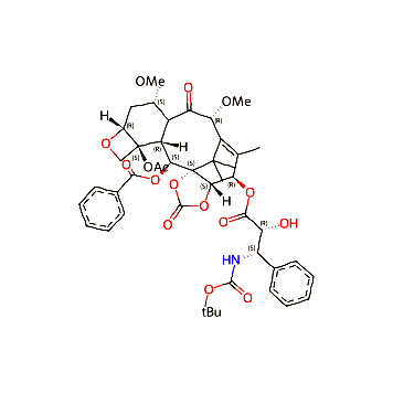 CO[C@H]1C(=O)C2[C@@H](OC)C[C@H]3OC[C@@]3(OC(C)=O)[C@H]2[C@H](OC(=O)c2ccccc2)[C@]23OC(=O)O[C@H]2[C@H](OC(=O)[C@H](O)[C@@H](NC(=O)OC(C)(C)C)c2ccccc2)C(C)=C1C3(C)C